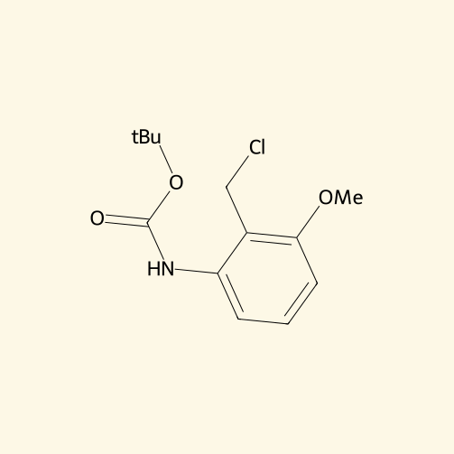 COc1cccc(NC(=O)OC(C)(C)C)c1CCl